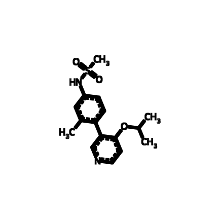 Cc1cc(NS(C)(=O)=O)ccc1-c1cnccc1OC(C)C